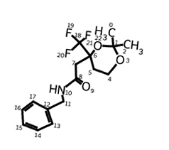 CC1(C)OCCC(CC(=O)NCc2ccccc2)(C(F)(F)F)O1